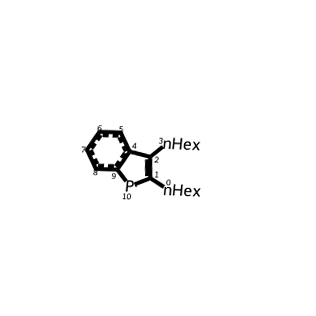 CCCCCCC1=C(CCCCCC)c2ccccc2[P]1